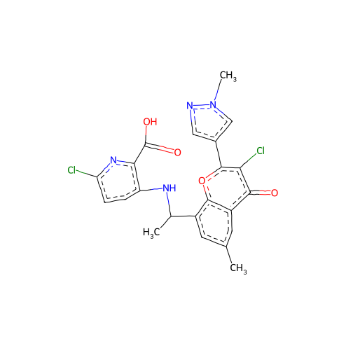 Cc1cc(C(C)Nc2ccc(Cl)nc2C(=O)O)c2oc(-c3cnn(C)c3)c(Cl)c(=O)c2c1